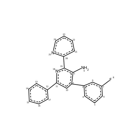 Nc1c(-c2cccc(F)c2)cc(-c2ccccc2)nc1-c1ccccn1